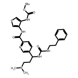 CN(C)CCC(NC(=O)NCCc1ccccc1)c1ccc(C(=O)Nc2cscc2NC(=O)OC(C)(C)C)nc1